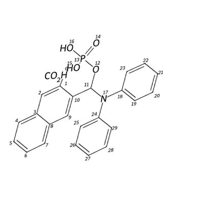 O=C(O)c1cc2ccccc2cc1C(OP(=O)(O)O)N(c1ccccc1)c1ccccc1